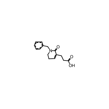 O=C(O)CCC1=CCCN(Cc2ccccc2)C1=O